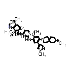 C=Nc1ccc(Nc2nc(Nc3cc(-c4cnn(C)c4)c(N4CCC5(CCN(CC)CC5)CC4)cc3OC)ncc2Br)c(P(C)(C)=O)c1/N=C\C